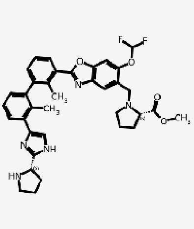 COC(=O)[C@@H]1CCCN1Cc1cc2nc(-c3cccc(-c4cccc(-c5c[nH]c([C@@H]6CCCN6)n5)c4C)c3C)oc2cc1OC(F)F